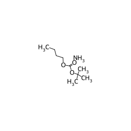 CCCCOC(=O)OC(C)(C)C.N